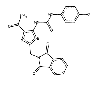 NC(=O)c1nc(CN2C(=O)c3ccccc3C2=O)[nH]c1NC(=O)Nc1ccc(Cl)cc1